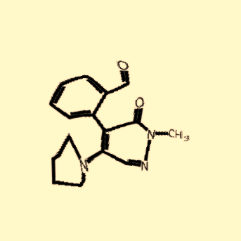 Cn1ncc(N2CCCC2)c(-c2ccccc2C=O)c1=O